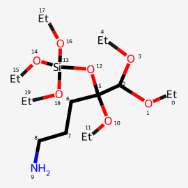 CCOC(OCC)C(CCCN)(OCC)O[Si](OCC)(OCC)OCC